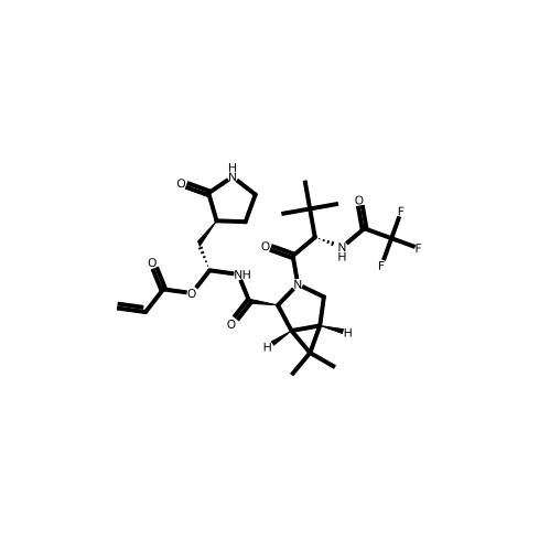 C=CC(=O)O[C@H](C[C@@H]1CCNC1=O)NC(=O)[C@@H]1[C@@H]2[C@H](CN1C(=O)[C@@H](NC(=O)C(F)(F)F)C(C)(C)C)C2(C)C